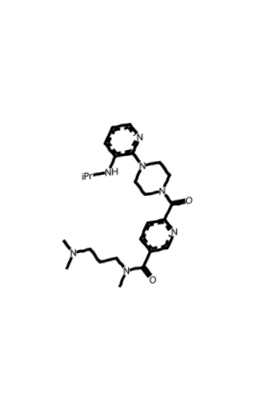 CC(C)Nc1cccnc1N1CCN(C(=O)c2ccc(C(=O)N(C)CCCN(C)C)cn2)CC1